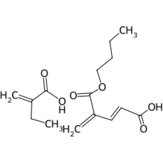 C=C(C=CC(=O)O)C(=O)OCCCC.C=C(CC)C(=O)O